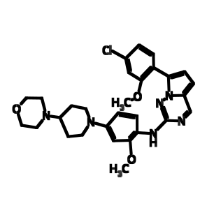 COc1cc(N2CCC(N3CCOCC3)CC2)ccc1Nc1ncc2ccc(-c3ccc(Cl)cc3OC)n2n1